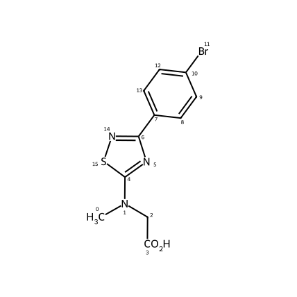 CN(CC(=O)O)c1nc(-c2ccc(Br)cc2)ns1